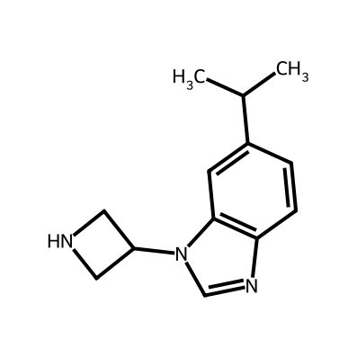 CC(C)c1ccc2ncn(C3CNC3)c2c1